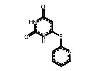 O=c1cc(Sc2ccccn2)[nH]c(=O)[nH]1